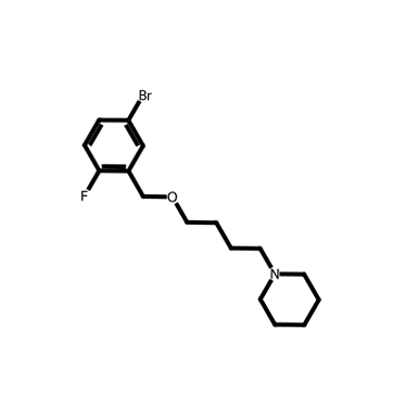 Fc1ccc(Br)cc1COCCCCN1CCCCC1